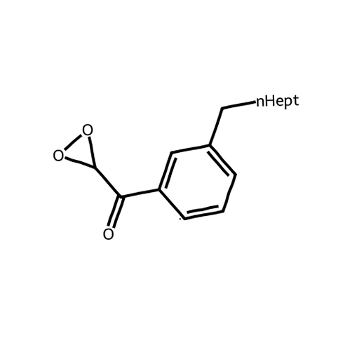 CCCCCCCCc1cc[c]c(C(=O)C2OO2)c1